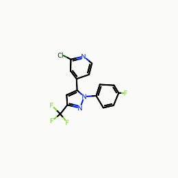 Fc1ccc(-n2nc(C(F)(F)F)cc2-c2ccnc(Cl)c2)cc1